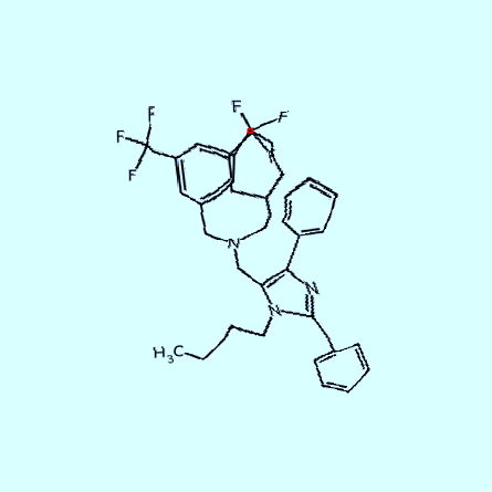 CCCCn1c(-c2ccccc2)nc(-c2ccccc2)c1CN(Cc1cc(C(F)(F)F)cc(C(F)(F)F)c1)CC1CCCCC1